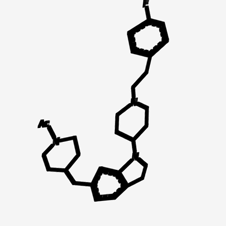 CC(=O)N1CCC(Cc2ccc3c(c2)N(C2CCN(CCc4ccc(F)cc4)CC2)CC3)CC1